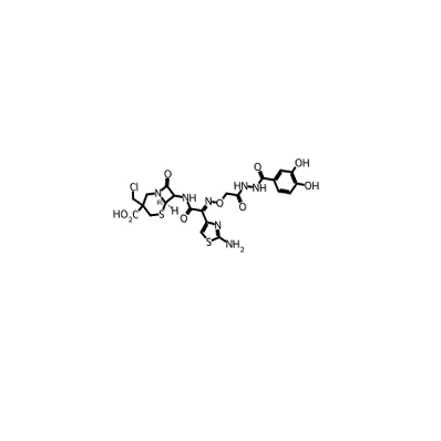 Nc1nc(C(=NOCC(=O)NNC(=O)c2ccc(O)c(O)c2)C(=O)NC2C(=O)N3CC(CCl)(C(=O)O)CS[C@H]23)cs1